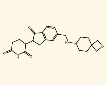 O=C1CCC(N2Cc3cc(CNC4CCC5(CC4)COC5)ccc3C2=O)C(=O)N1